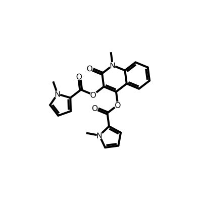 Cn1cccc1C(=O)Oc1c(OC(=O)c2cccn2C)c2ccccc2n(C)c1=O